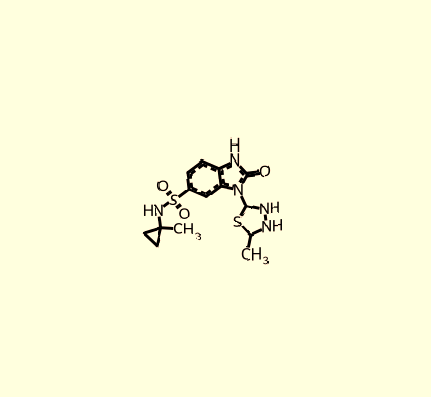 CC1NNC(n2c(=O)[nH]c3ccc(S(=O)(=O)NC4(C)CC4)cc32)S1